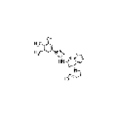 Cc1cc(-n2cnc(Nc3nc(N4CCC[C@H]4CO)c4cccnc4n3)c2)cc(C)c1C